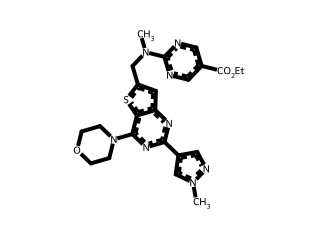 CCOC(=O)c1cnc(N(C)Cc2cc3nc(-c4cnn(C)c4)nc(N4CCOCC4)c3s2)nc1